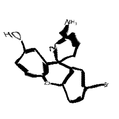 NC1=NC2(CC1)c1cc(O)ccc1Oc1ccc(Br)cc12